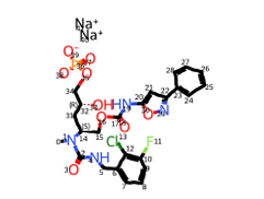 CN(C(=O)NCc1cccc(F)c1Cl)[C@H](COC(=O)Nc1cc(-c2ccccc2)no1)C[C@@H](O)COP(=O)([O-])[O-].[Na+].[Na+]